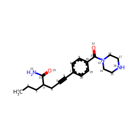 CCCC(CC#Cc1ccc(C(=O)N2CCNCC2)cc1)C(N)=O